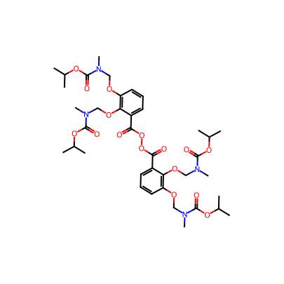 CC(C)OC(=O)N(C)COc1cccc(C(=O)OOC(=O)c2cccc(OCN(C)C(=O)OC(C)C)c2OCN(C)C(=O)OC(C)C)c1OCN(C)C(=O)OC(C)C